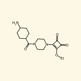 CCOc1c(N2CCN(C(=O)C3CCC(N)CC3)CC2)c(=O)c1=O